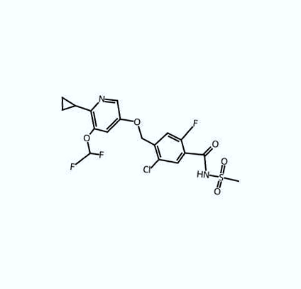 CS(=O)(=O)NC(=O)c1cc(Cl)c(COc2cnc(C3CC3)c(OC(F)F)c2)cc1F